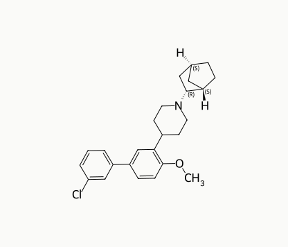 COc1ccc(-c2cccc(Cl)c2)cc1C1CCN([C@@H]2C[C@H]3CC[C@H]2C3)CC1